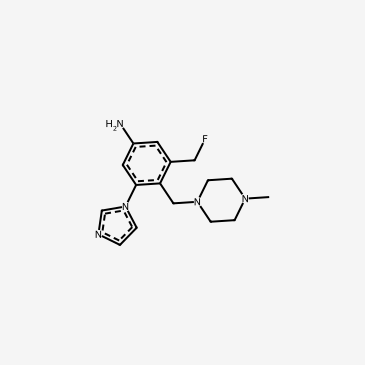 CN1CCN(Cc2c(CF)cc(N)cc2-n2ccnc2)CC1